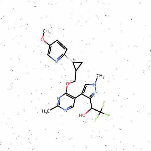 COc1ccc([C@@H]2CC2COc2nc(C)ncc2-c2cn(C)nc2C(O)C(F)(F)F)nc1